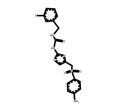 Nc1ccc(S(=O)(=O)Cc2csc(NC(=O)NCc3cccc(F)c3)n2)cc1